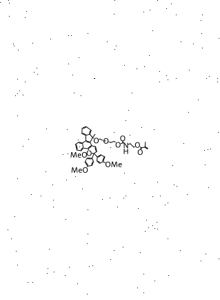 C=C(C)C(=O)OCCNC(=O)OCCOCCOC1(C)c2ccccc2-c2c1c1c(c3ccccc23)OC(c2ccc(OC)cc2)(c2ccc(OC)cc2OC)C=C1